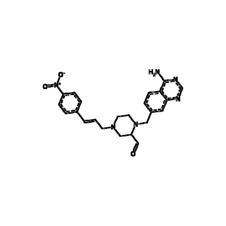 Nc1ncnc2cc(CN3CCN(CC=Cc4ccc([N+](=O)[O-])cc4)CC3C=O)ccc12